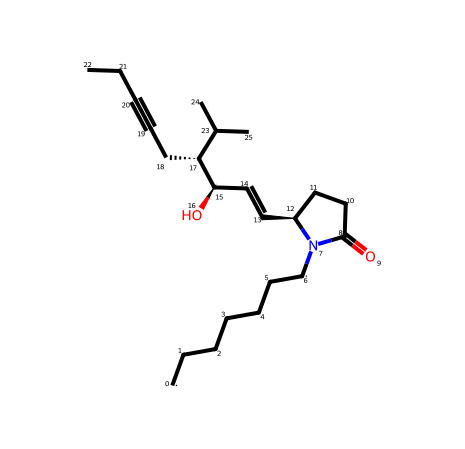 [CH2]CCCCC[CH]N1C(=O)CC[C@@H]1/C=C/[C@@H](O)[C@H](CC#CCC)C(C)C